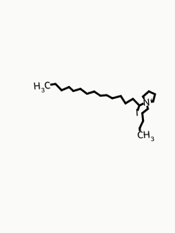 CCCCCCCCCCCCCCC(I)[N+]1(CCCCC)CCCC1